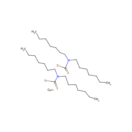 CCCCCCCN(CCCCCCC)C(=S)[S-].CCCCCCCN(CCCCCCC)C(=S)[S-].[Cu+2]